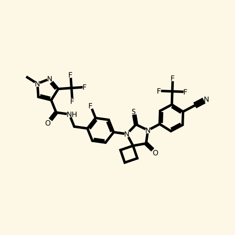 Cn1cc(C(=O)NCc2ccc(N3C(=S)N(c4ccc(C#N)c(C(F)(F)F)c4)C(=O)C34CCC4)cc2F)c(C(F)(F)F)n1